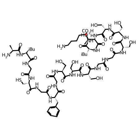 CC[C@H](C)[C@H](NC(=O)[C@H](C)N)C(=O)NCC(=O)N[C@@H](CS)C(=O)NCC(=O)N[C@@H](Cc1ccccc1)C(=O)NCC(=O)N[C@@H](CO)C(=O)N[C@@H](CO)C(=O)N[C@@H](CO)C(=O)NCC(=O)NCC(=O)N[C@@H](CO)C(=O)N[C@@H](CO)C(=O)N[C@@H](CO)C(=O)N[C@H](C(=O)N[C@H](C(=O)N[C@@H](CCCCN)C(=O)O)[C@@H](C)CC)[C@@H](C)O